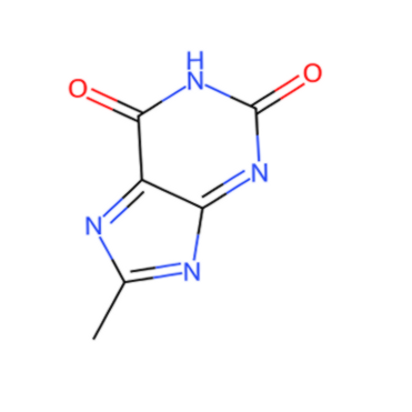 CC1=NC2=NC(=O)NC(=O)C2=N1